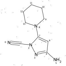 N#Cn1nc(N)cc1N1CCCCC1